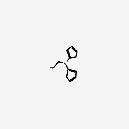 Cl[CH2][V]([C]1=CC=CC1)[C]1=CC=CC1